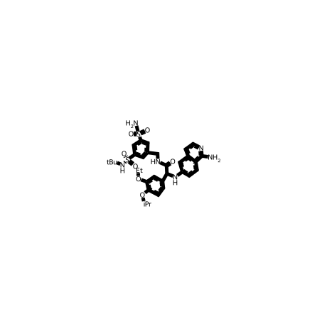 CCOc1cc(C(Nc2ccc3c(N)nccc3c2)C(=O)NCc2cc(S(N)(=O)=O)cc(S(=O)(=O)NC(C)(C)C)c2)ccc1OC(C)C